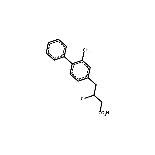 Cc1cc(CC(Cl)CC(=O)O)ccc1-c1ccccc1